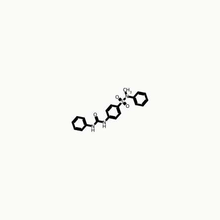 CN(c1ccccc1)S(=O)(=O)c1ccc(NC(=O)Nc2ccccc2)cc1